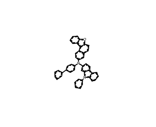 c1ccc(-c2ccc(N(c3ccc4c(ccc5oc6ccccc6c54)c3)c3ccc4c5ccccc5n(-c5ccccc5)c4c3)cc2)cc1